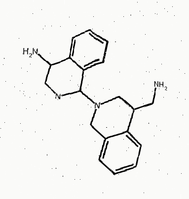 NCC1CN(C2[N]CC(N)c3ccccc32)Cc2ccccc21